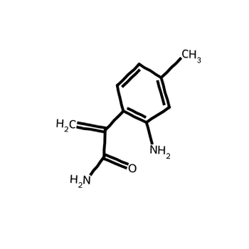 C=C(C(N)=O)c1ccc(C)cc1N